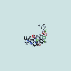 CCCC(F)OC(=O)CCC(CNC(=O)c1c(C)c(N2CCCC2)nc2ccc(Br)cc12)c1c(F)ccc(F)c1Cl